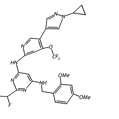 COc1ccc(CNc2cc(Nc3cc(OC(F)(F)F)c(-c4cnn(C5CC5)c4)cn3)nc(C(F)F)n2)c(OC)c1